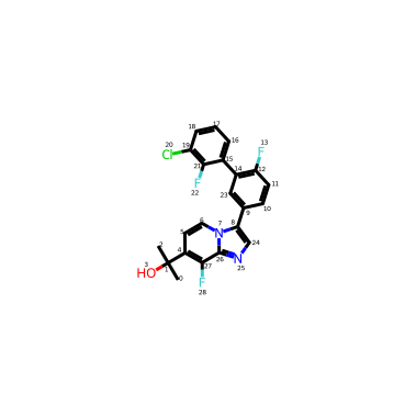 CC(C)(O)c1ccn2c(-c3ccc(F)c(-c4cccc(Cl)c4F)c3)cnc2c1F